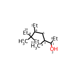 CCC(O)C(C)CC(CC)C(C)(CC)CC